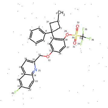 CC1CC(c2ccccc2)(c2cc(OCc3ccc4cc(F)ccc4n3)ccc2OS(=O)(=O)C(F)(F)F)C1